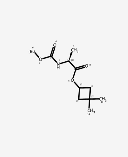 C[C@H](NC(=O)OC(C)(C)C)C(=O)OC1CC(C)(C)C1